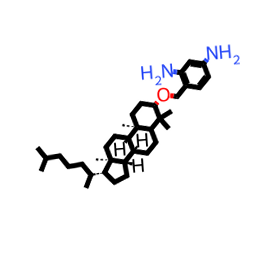 CC(C)CCCC(C)[C@H]1CC[C@H]2[C@@H]3CCC4C(C)(C)C(OCc5ccc(N)cc5N)CC[C@]4(C)[C@H]3CC[C@]12C